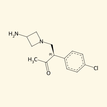 CC(=O)[C@@H](CN1CC(N)C1)c1ccc(Cl)cc1